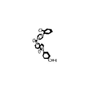 O=C(N1CCN(c2ccccc2Cl)CC1)N1CCCC2(CCN(C3CCC(O)CC3)C2=O)C1